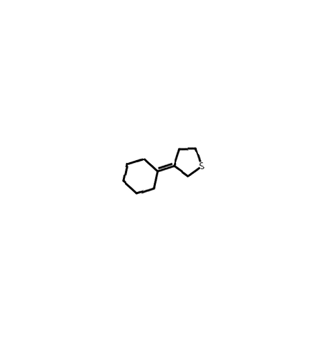 C1CCC(=C2CCSC2)CC1